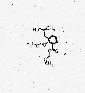 C=C(C)Cc1c[c]cc(C(=O)OCOC)c1OCOC